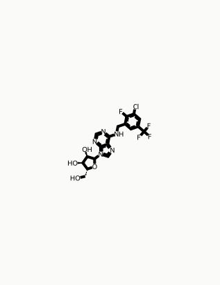 OC[C@H]1OC(n2cnc3c(NCc4cc(C(F)(F)F)cc(Cl)c4F)ncnc32)[C@H](O)[C@@H]1O